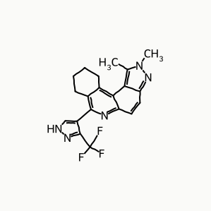 Cc1c2c(ccc3nc(-c4c[nH]nc4C(F)(F)F)c4c(c32)CCCC4)nn1C